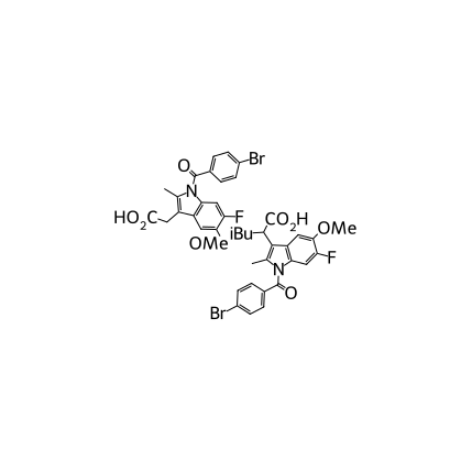 CCC(C)C(C(=O)O)c1c(C)n(C(=O)c2ccc(Br)cc2)c2cc(F)c(OC)cc12.COc1cc2c(CC(=O)O)c(C)n(C(=O)c3ccc(Br)cc3)c2cc1F